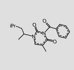 Cc1cn(C(C)CC(C)C)c(=O)n(C(=O)c2ccccc2)c1=O